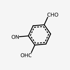 O=Cc1ccc(C=O)c(N=O)c1